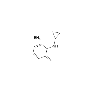 B.C=C1C=CC=CC1NC1CC1